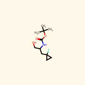 CC(C)(C)OC(=O)NC(CO)CC1(F)CC1